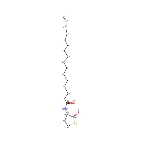 CCCCCCCCCCCCCCCC(=O)N[C@H]1CCSC1=O